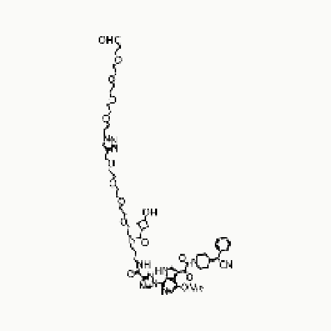 COc1cnc(-n2cnc(C(=O)NCCCN(CCOCCOCCOCCOCc3cn(CCOCCOCCOCCOCCC=O)nn3)C(=O)C3CC(O)C3)n2)c2[nH]cc(C(=O)C(=O)N3CCC(=C(C#N)c4ccccc4)CC3)c12